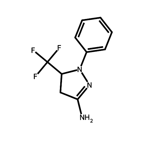 NC1=NN(c2ccccc2)C(C(F)(F)F)C1